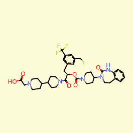 O=C(O)CN1CCC(C2CCN(C(=O)[C@@H](Cc3cc(CF)cc(C(F)(F)F)c3)OC(=O)N3CCC(N4CCc5ccccc5NC4=O)CC3)CC2)CC1